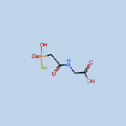 O=C(O)CNC(=O)CP(=O)(O)S